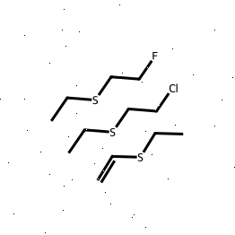 C=CSCC.CCSCCCl.CCSCCF